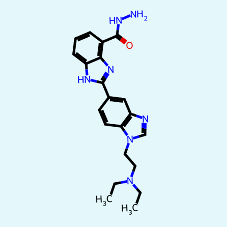 CCN(CC)CCn1cnc2cc(-c3nc4c(C(=O)NN)cccc4[nH]3)ccc21